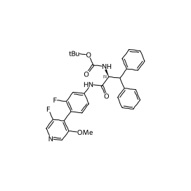 COc1cncc(F)c1-c1ccc(NC(=O)[C@@H](NC(=O)OC(C)(C)C)C(c2ccccc2)c2ccccc2)cc1F